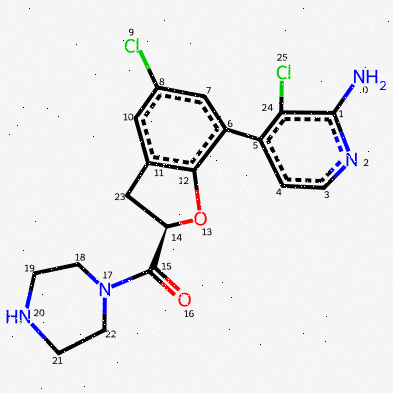 Nc1nccc(-c2cc(Cl)cc3c2O[C@@H](C(=O)N2CCNCC2)C3)c1Cl